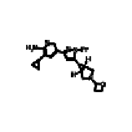 CC(C)n1nc(-c2cnc(N)c(C3CC3)c2)cc1[C@H]1[C@@H]2CN(C3CCO3)C[C@@H]21